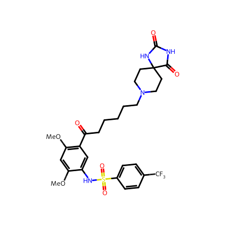 COc1cc(OC)c(C(=O)CCCCCN2CCC3(CC2)NC(=O)NC3=O)cc1NS(=O)(=O)c1ccc(C(F)(F)F)cc1